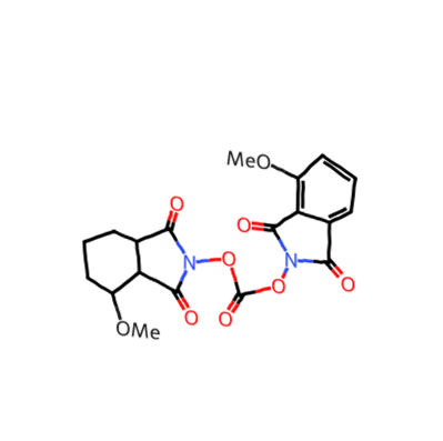 COc1cccc2c1C(=O)N(OC(=O)ON1C(=O)C3CCCC(OC)C3C1=O)C2=O